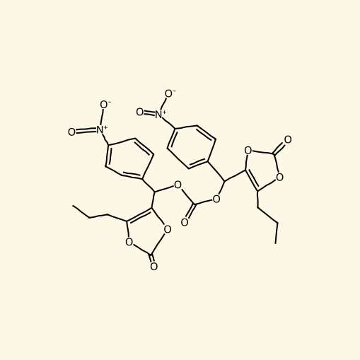 CCCc1oc(=O)oc1C(OC(=O)OC(c1ccc([N+](=O)[O-])cc1)c1oc(=O)oc1CCC)c1ccc([N+](=O)[O-])cc1